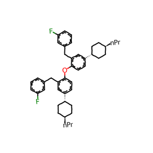 CCC[C@H]1CC[C@H](c2ccc(Oc3ccc([C@H]4CC[C@H](CCC)CC4)cc3Cc3cccc(F)c3)c(Cc3cccc(F)c3)c2)CC1